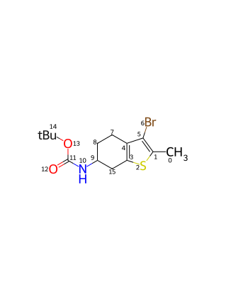 Cc1sc2c(c1Br)CCC(NC(=O)OC(C)(C)C)C2